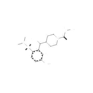 COc1ccc(S(=O)(=O)N(C)C)c(C(OC(C)=O)C2CCN(C(=O)OC(C)(C)C)CC2)c1